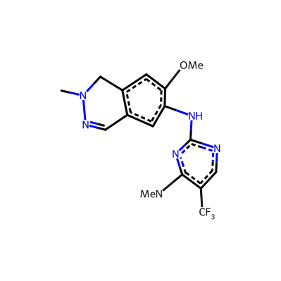 CNc1nc(Nc2cc3c(cc2OC)CN(C)N=C3)ncc1C(F)(F)F